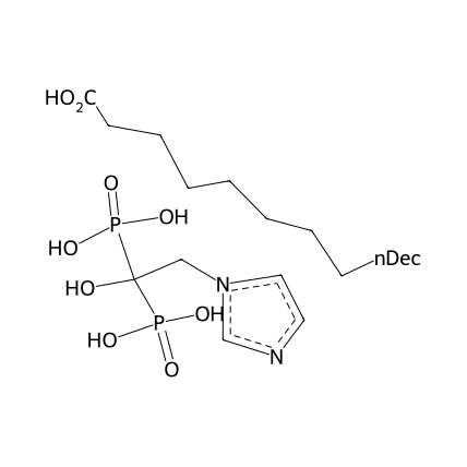 CCCCCCCCCCCCCCCCCC(=O)O.O=P(O)(O)C(O)(Cn1ccnc1)P(=O)(O)O